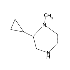 CN1CCNCC1[C]1CC1